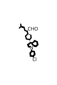 CC(C)=CC[C@@H](C=O)[C@H]1CC[C@H](c2cc[n+](-c3ccc(Cl)cc3)c3ccccc32)CC1